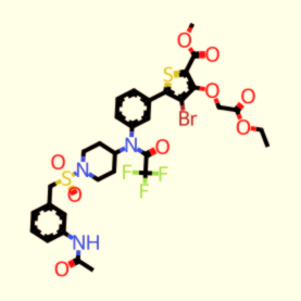 CCOC(=O)COc1c(C(=O)OC)sc(-c2cccc(N(C(=O)C(F)(F)F)C3CCN(S(=O)(=O)Cc4cccc(NC(C)=O)c4)CC3)c2)c1Br